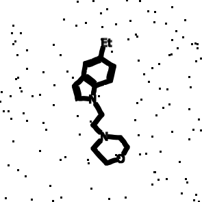 CCc1ccc2c(ccn2CCN2CCOCC2)c1